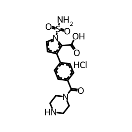 Cl.NS(=O)(=O)n1ccc(-c2ccc(C(=O)N3CCNCC3)cc2)c1C(=O)O